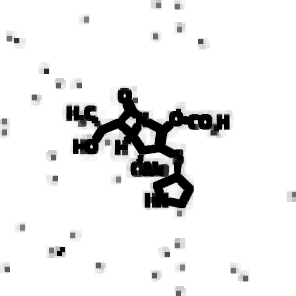 CO[C@H]1C(S[C@H]2CCNC2)=C(OC(=O)O)N2C(=O)[C@H]([C@@H](C)O)[C@@H]12